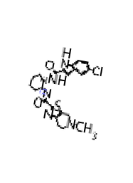 CN1CCc2nc(C(=O)/N=C3\CCCC[C@@H]3NC(=O)c3cc4cc(Cl)ccc4[nH]3)sc2C1